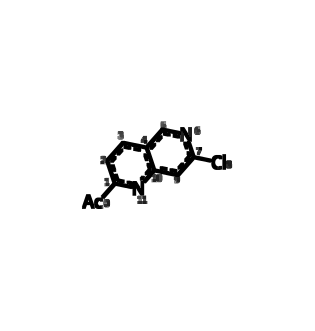 CC(=O)c1ccc2cnc(Cl)cc2n1